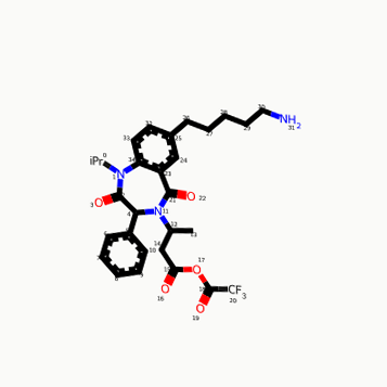 CC(C)N1C(=O)C(c2ccccc2)N(C(C)CC(=O)OC(=O)C(F)(F)F)C(=O)c2cc(CCCCCN)ccc21